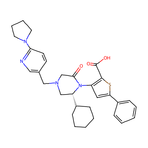 O=C(O)c1sc(-c2ccccc2)cc1N1C(=O)CN(Cc2ccc(N3CCCC3)nc2)C[C@H]1C1CCCCC1